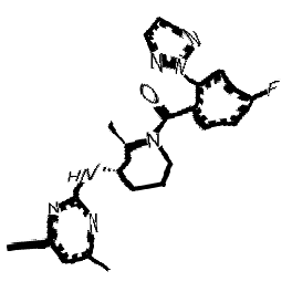 Cc1cc(C)nc(N[C@H]2CCCN(C(=O)c3ccc(F)cc3-n3nccn3)[C@@H]2C)n1